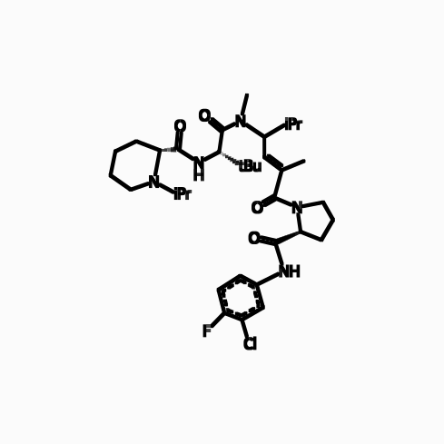 C/C(=C\C(C(C)C)N(C)C(=O)[C@@H](NC(=O)[C@H]1CCCCN1C(C)C)C(C)(C)C)C(=O)N1CCC[C@H]1C(=O)Nc1ccc(F)c(Cl)c1